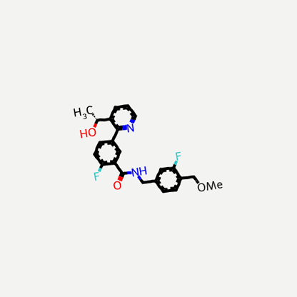 COCc1ccc(CNC(=O)c2cc(-c3ncccc3[C@@H](C)O)ccc2F)cc1F